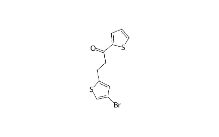 O=C(CCc1cc(Br)cs1)c1cccs1